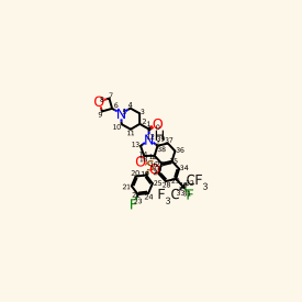 O=C(C1CCN(C2COC2)CC1)N1CC[C@]2(S(=O)(=O)c3ccc(F)cc3)c3ccc(C(F)(C(F)(F)F)C(F)(F)F)cc3CC[C@H]12